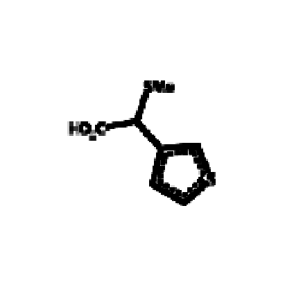 CSC(C(=O)O)c1ccsc1